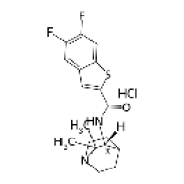 CC1(C)[C@H](NC(=O)c2cc3cc(F)c(F)cc3s2)C2CCN1CC2.Cl